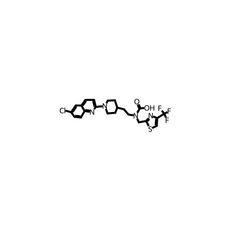 O=C(O)N(CCC1CCN(c2ccc3cc(Cl)ccc3n2)CC1)Cc1nc(C(F)(F)F)cs1